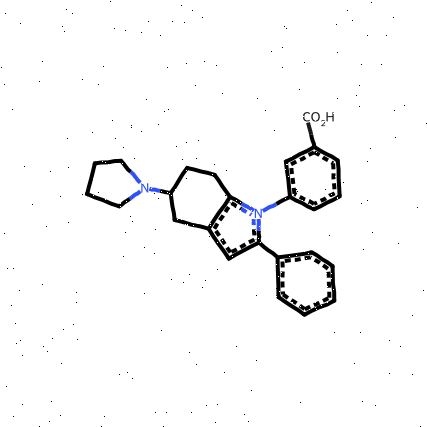 O=C(O)c1cccc(-n2c(-c3ccccc3)cc3c2CCC(N2CCCC2)C3)c1